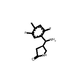 Cc1cc(F)c(C(N)C2CNC(=O)C2)cc1F